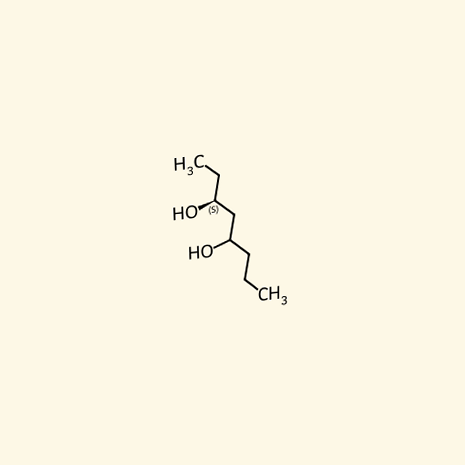 CCCC(O)C[C@@H](O)CC